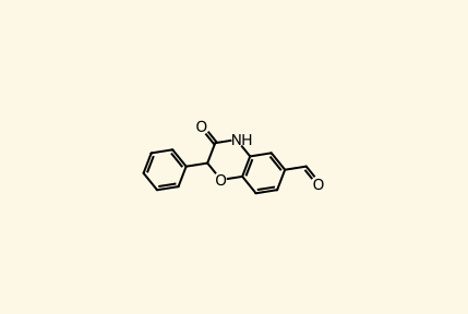 O=Cc1ccc2c(c1)NC(=O)C(c1ccccc1)O2